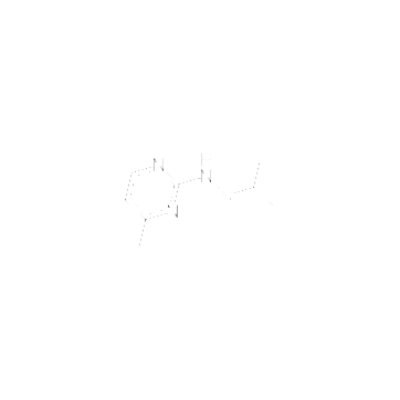 Cc1ccnc(NSC(C)C)n1